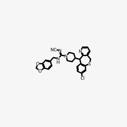 N#C/N=C(\NCc1ccc2c(c1)OCO2)N1CCC(C2c3ccc(Cl)cc3SCc3cccnc32)CC1